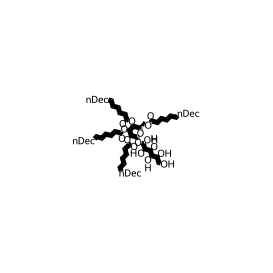 CCCCCCCCCCCCCCCC(=O)OC[C@H]1O[C@H](OC(O)[C@@H](O)[C@@H](O)[C@H](O)[C@H](O)CO)[C@@H](OC(=O)CCCCCCCCCCCCCCC)[C@@H](OC(=O)CCCCCCCCCCCCCCC)[C@@H]1OC(=O)CCCCCCCCCCCCCCC